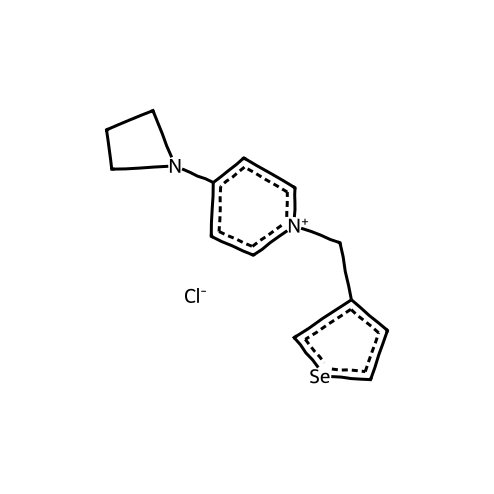 [Cl-].c1cc(C[n+]2ccc(N3CCC3)cc2)c[se]1